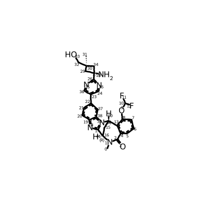 CN1C(=O)c2cccc(OC(F)F)c2[C@@H]2C[C@@H]1c1nc3ccc(-c4cnc([C@]5(N)C[C@@](C)(CO)C5)nc4)cc3n12